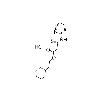 Cl.O=C(CC(=S)Nc1ccccn1)OCCC1CCCCC1